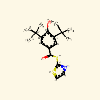 CC(C)(C)c1cc(C(=O)Sc2nccs2)cc(C(C)(C)C)c1O